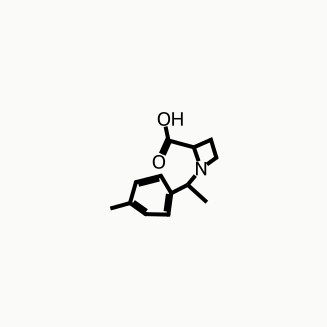 Cc1ccc(C(C)N2CCC2C(=O)O)cc1